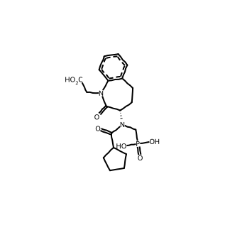 O=C(O)CN1C(=O)[C@@H](N(CP(=O)(O)O)C(=O)C2CCCC2)CCc2ccccc21